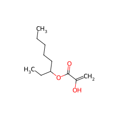 C=C(O)C(=O)OC(CC)CCCCC